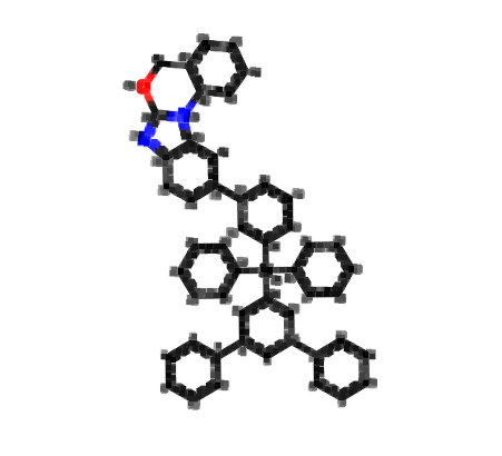 c1ccc(-c2cc(-c3ccccc3)cc([Si](c3ccccc3)(c3ccccc3)c3cccc(-c4ccc5nc6n(c5c4)-c4ccccc4CO6)c3)c2)cc1